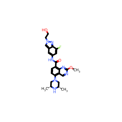 COc1ncc2c(N3C[C@@H](C)N[C@@H](C)C3)ccc(C(=O)Nc3cc(F)c4nn(CCO)cc4c3)c2n1